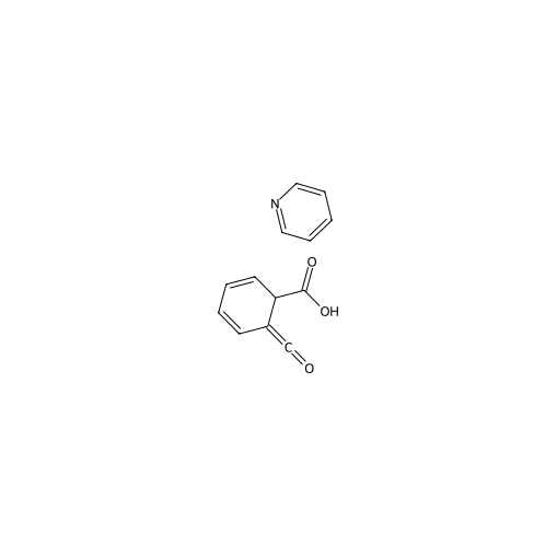 O=C=C1C=CC=CC1C(=O)O.c1ccncc1